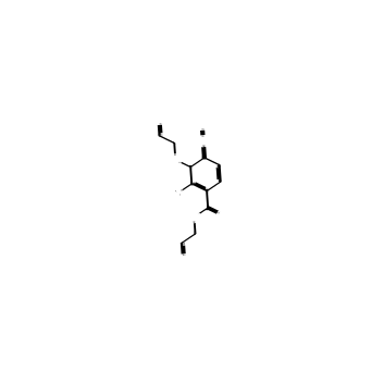 C=CCOC(=O)C1=C(N)C(OCC=C)C(=C=O)C=C1